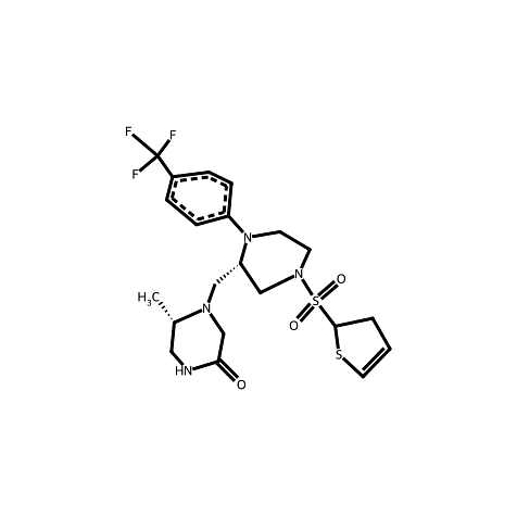 C[C@H]1CNC(=O)CN1C[C@H]1CN(S(=O)(=O)C2CC=CS2)CCN1c1ccc(C(F)(F)F)cc1